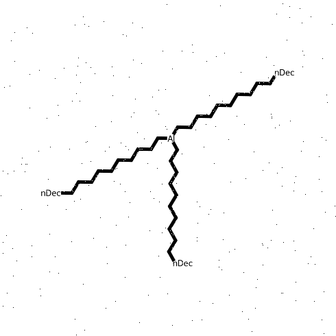 CCCCCCCCCCCCCCCCCCC[CH2][Al]([CH2]CCCCCCCCCCCCCCCCCCC)[CH2]CCCCCCCCCCCCCCCCCCC